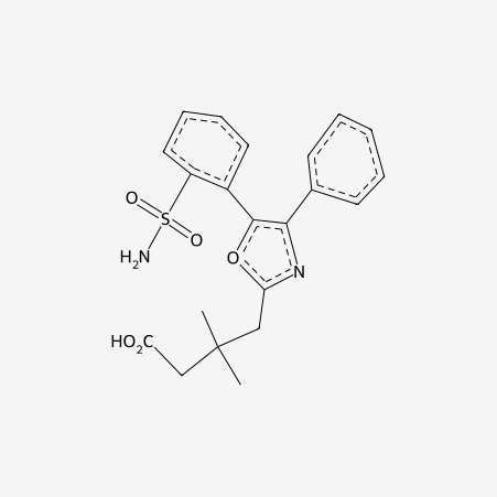 CC(C)(CC(=O)O)Cc1nc(-c2ccccc2)c(-c2ccccc2S(N)(=O)=O)o1